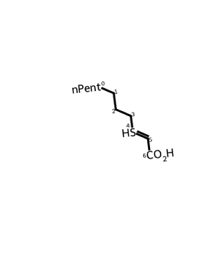 CCCCCCCC[SH]=CC(=O)O